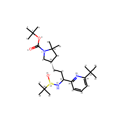 CC(C)(C)OC(=O)N1C[C@@H](CCC(N[S+]([O-])C(C)(C)C)c2cccc(C(C)(C)C)n2)CC1(C)C